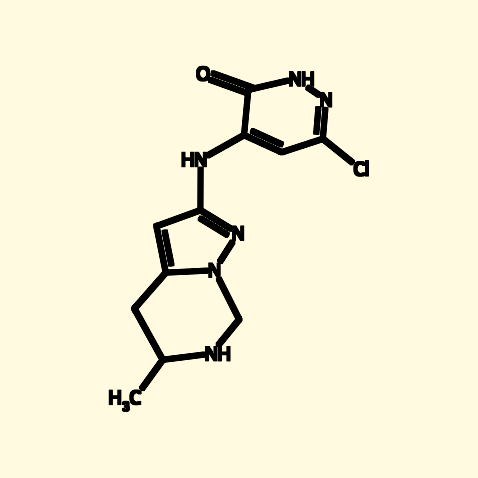 CC1Cc2cc(Nc3cc(Cl)n[nH]c3=O)nn2CN1